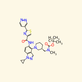 CN(C[C@@H]1CCCN(c2c(NC(=O)c3csc(-c4ccnnc4)n3)ccc3c2cnn3C2CC2)C1)C(=O)OC(C)(C)C